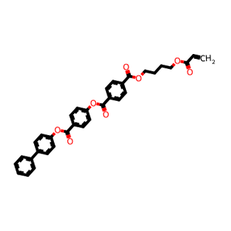 C=CC(=O)OCCCCOC(=O)c1ccc(C(=O)Oc2ccc(C(=O)Oc3ccc(-c4ccccc4)cc3)cc2)cc1